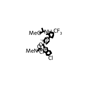 CNCC(=O)N[C@H](Cc1ccc(Cl)cc1Cl)C(=O)N1CCN(c2ccc(C(F)(F)F)cc2CNC(C)COC)C[C@H]1C